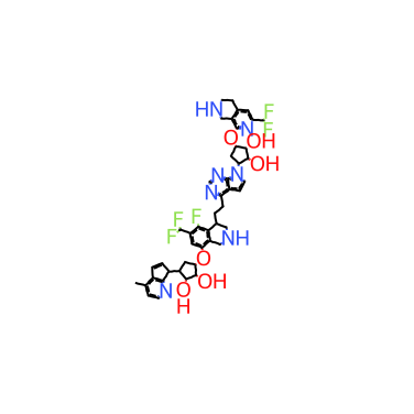 Cc1ccnc2c1C=CC2C1CC(Oc2cc(C(F)F)c(F)c3c2CNCC3CCc2ncnc3c2ccn3C2CC(Oc3nc(C(F)F)cc4c3CNCC4)C(O)C2O)C(O)C1O